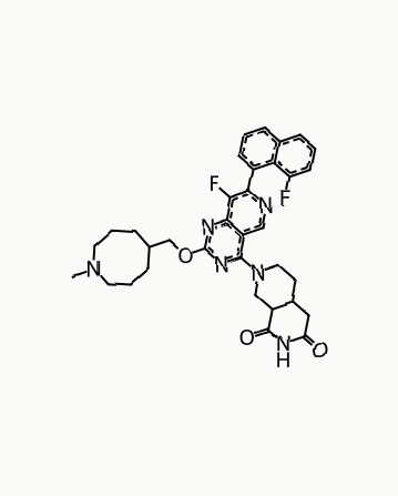 CN1CCCC(COc2nc(N3CCC4CC(=O)NC(=O)C4C3)c3cnc(-c4cccc5cccc(F)c45)c(F)c3n2)CCC1